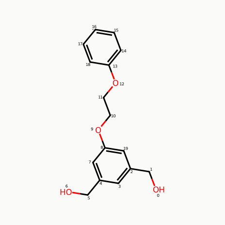 OCc1cc(CO)cc(OCCOc2cc[c]cc2)c1